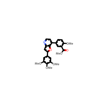 COC(=O)c1cc(-c2ccnc3cc(-c4cc(OC)c(OC)c(OC)c4)oc23)ccc1OC